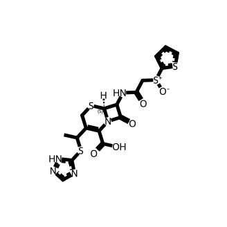 CC(Sc1ncn[nH]1)C1=C(C(=O)O)N2C(=O)C(NC(=O)C[S+]([O-])c3cccs3)[C@@H]2SC1